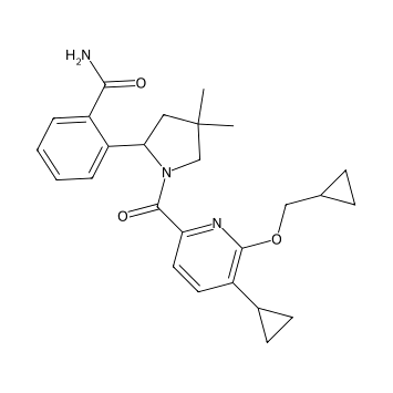 CC1(C)CC(c2ccccc2C(N)=O)N(C(=O)c2ccc(C3CC3)c(OCC3CC3)n2)C1